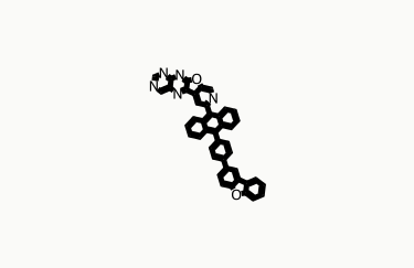 c1ccc2c(c1)oc1ccc(-c3ccc(-c4c5ccccc5c(-c5cc6c(cn5)oc5nc7ncncc7nc56)c5ccccc45)cc3)cc12